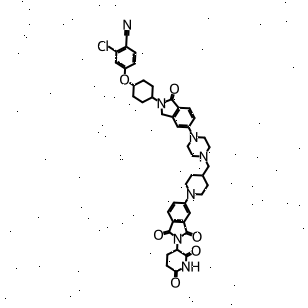 N#Cc1ccc(OC2CCC(N3Cc4cc(N5CCN(CC6CCN(c7ccc8c(c7)C(=O)N(C7CCC(=O)NC7=O)C8=O)CC6)CC5)ccc4C3=O)CC2)cc1Cl